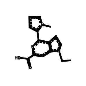 CCn1ccc2c(-c3cccn3C)nc(C(=O)O)cc21